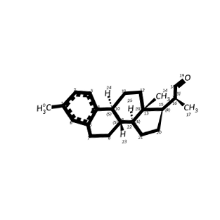 Cc1ccc2c(c1)CC[C@@H]1[C@@H]2CC[C@]2(C)[C@@H]([C@H](C)C=O)CC[C@@H]12